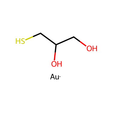 OCC(O)CS.[Au]